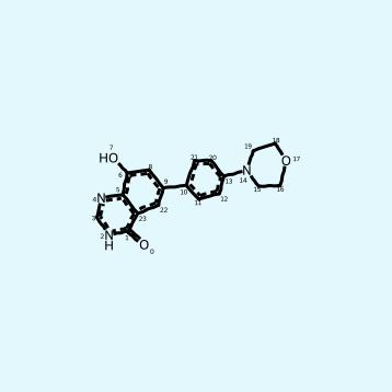 O=c1[nH]cnc2c(O)cc(-c3ccc(N4CCOCC4)cc3)cc12